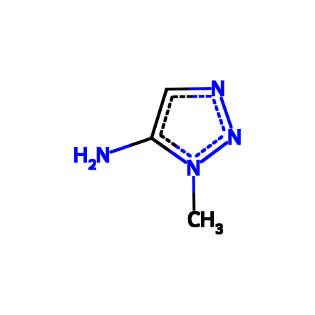 Cn1nncc1N